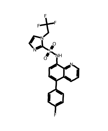 O=S(=O)(Nc1ccc(-c2ccc(F)cc2)c2cccnc12)c1nccn1CC(F)(F)F